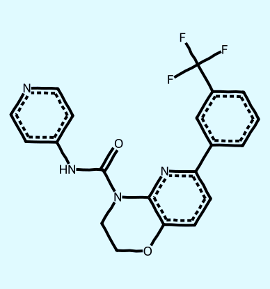 O=C(Nc1ccncc1)N1CCOc2ccc(-c3cccc(C(F)(F)F)c3)nc21